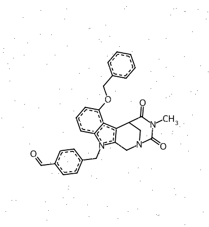 CN1C(=O)C2CN(Cc3c2c2c(OCc4ccccc4)cccc2n3Cc2ccc(C=O)cc2)C1=O